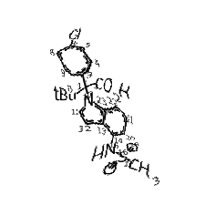 CC(C)(C)C(C(=O)O)(c1ccc(Cl)cc1)n1ccc2c(NS(C)(=O)=O)cccc21